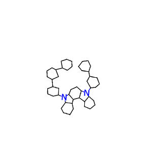 C1CCC(C2CCCC(C3CCCC(N4C5CCCCC5C5C6C7CCCCC7N(C7CCCC(C8CCCCC8)C7)C6CCC54)C3)C2)CC1